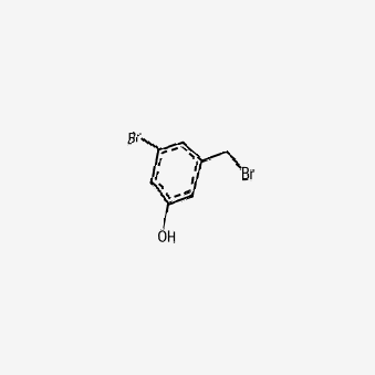 Oc1cc(Br)cc(CBr)c1